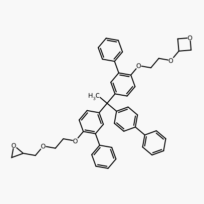 CC(c1ccc(-c2ccccc2)cc1)(c1ccc(OCCOCC2CO2)c(-c2ccccc2)c1)c1ccc(OCCOC2COC2)c(-c2ccccc2)c1